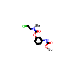 CCC(C)OC(=O)Nc1cccc(OC(=O)N(CCCl)C(C)(C)C)c1